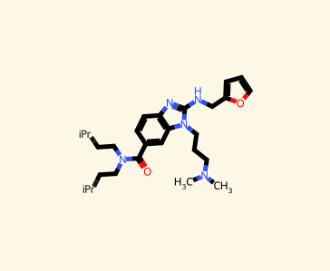 CC(C)CCN(CCC(C)C)C(=O)c1ccc2nc(NCc3ccco3)n(CCCN(C)C)c2c1